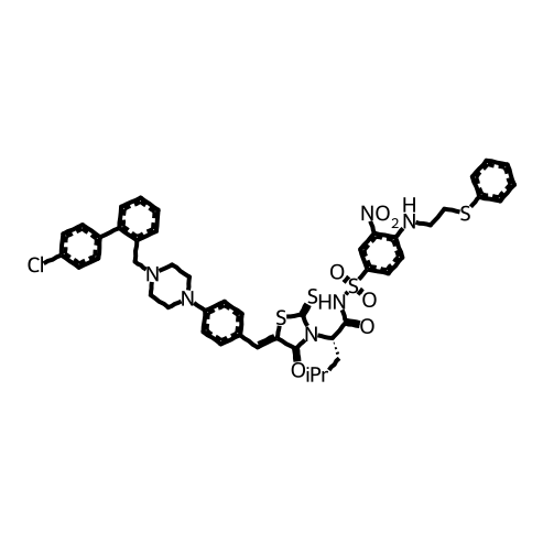 CC(C)C[C@@H](C(=O)NS(=O)(=O)c1ccc(NCCSc2ccccc2)c([N+](=O)[O-])c1)N1C(=O)/C(=C/c2ccc(N3CCN(Cc4ccccc4-c4ccc(Cl)cc4)CC3)cc2)SC1=S